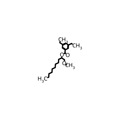 CCCCCCCCCC(COC)OC(=O)c1cc(CC)cc(CC)c1